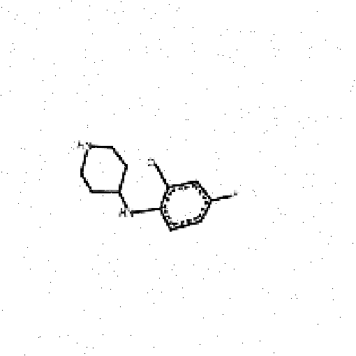 Fc1ccc(NC2CCNCC2)c(Cl)c1